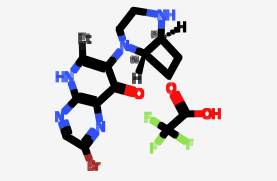 CCc1[nH]c2ncc(Br)nc2c(=O)c1N1CCN[C@H]2CC[C@@H]21.O=C(O)C(F)(F)F